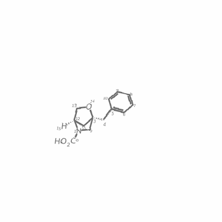 O=C(O)N1C[C@@]2(Cc3ccccc3)C[C@@H]1CO2